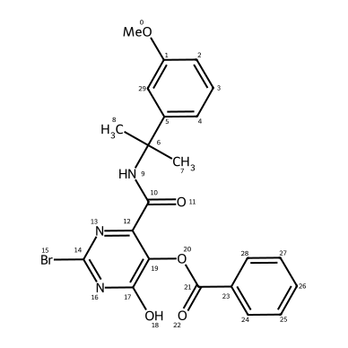 COc1cccc(C(C)(C)NC(=O)c2nc(Br)nc(O)c2OC(=O)c2ccccc2)c1